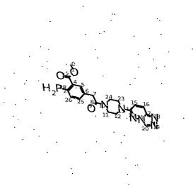 COC(=O)c1cc(CC(=O)N2CCN(c3ccc4nncn4n3)CC2)ccc1P